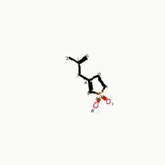 C=C(C)CC1=CS(=O)(=O)C=C1